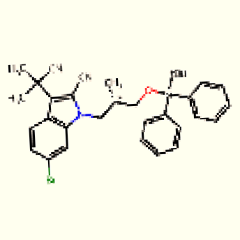 C[C@H](CO[Si](c1ccccc1)(c1ccccc1)C(C)(C)C)Cn1c(C#N)c(C(C)(C)C#N)c2ccc(Br)cc21